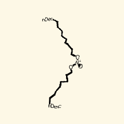 CCCCCCCCCCCCCCCCCCO[N+](=O)OCCCCCCCCCCCCCCCCCC